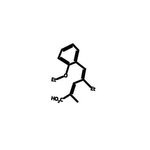 CCOc1ccccc1C=C(/C=C(\C)C(=O)O)CC